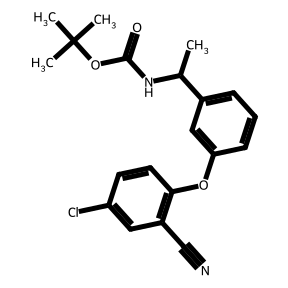 CC(NC(=O)OC(C)(C)C)c1cccc(Oc2ccc(Cl)cc2C#N)c1